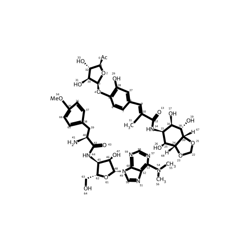 CC(=O)[C@H]1O[C@@H](Oc2ccc(/C=C(\C)C(=O)N[C@H]3[C@@H](O)[C@H](O)[C@@H]4OCO[C@@H]4[C@H]3O)cc2O)[C@@H](O)[C@@H]1O.COc1ccc(C[C@H](N)C(=O)N[C@H]2[C@@H](O)[C@H](n3cnc4c(N(C)C)ncnc43)O[C@@H]2CO)cc1